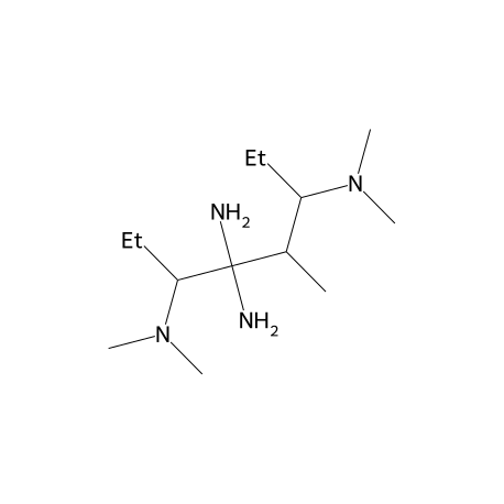 CCC(C(C)C(N)(N)C(CC)N(C)C)N(C)C